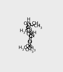 C=N/C(=N\c1c(C)cc2n1C(CC(C)C)CNC2=O)Nc1ccc(N2CCN(C(=O)OC(C)(C)C)CC2)cn1